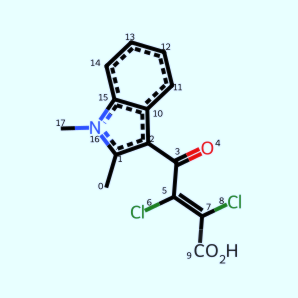 Cc1c(C(=O)C(Cl)=C(Cl)C(=O)O)c2ccccc2n1C